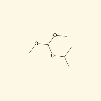 COC(OC)OC(C)C